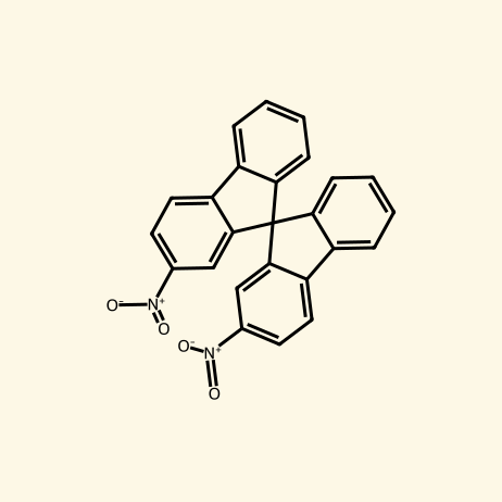 O=[N+]([O-])c1ccc2c(c1)C1(c3ccccc3-2)c2ccccc2-c2ccc([N+](=O)[O-])cc21